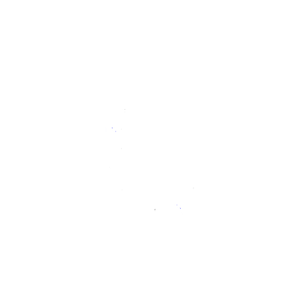 CC(=O)NC1=CC=C2C=NC=CC2C1